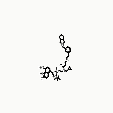 CC(C)(C)[Si](C)(C)O[C@@H](CNCCN(CC1CC1)C(=O)CCOCCc1cccc(CN2CC3CCCC3C2)c1)c1ccc(O)c2[nH]c(=O)ccc12